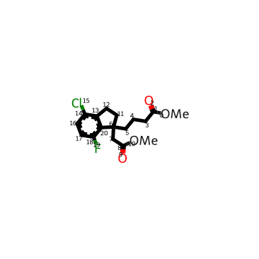 COC(=O)CCCC1(CC(=O)OC)CCc2c(Cl)ccc(F)c21